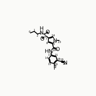 CCCNS(=O)(=O)c1cc(C(=O)Nc2ccc(F)c(C#N)c2)n(C)c1